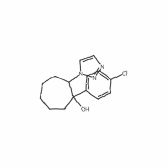 OC1(c2ccc(Cl)cc2)CCCCCC1n1ccnn1